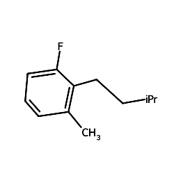 Cc1cccc(F)c1CCC(C)C